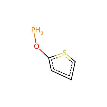 POc1cccs1